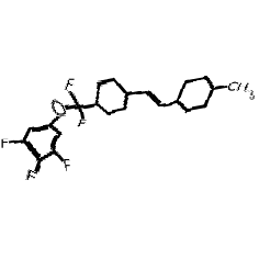 CC1CCC(/C=C/C2CCC(C(F)(F)Oc3cc(F)c(F)c(F)c3)CC2)CC1